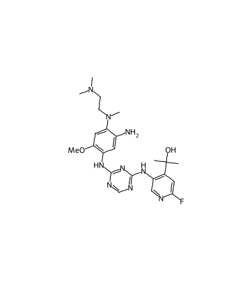 COc1cc(N(C)CCN(C)C)c(N)cc1Nc1ncnc(Nc2cnc(F)cc2C(C)(C)O)n1